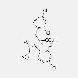 O=C(O)[C@H](Cc1ccc(Cl)cc1Cl)N(C(=O)C1CC1)c1ccc(Cl)cc1Cl